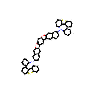 c1ccc(N(c2ccc3cc4c(cc3c2)oc2cc3oc5cc6cc(N(c7ccccc7)c7cccc8sc9ccccc9c78)ccc6cc5c3cc24)c2cccc3sc4ccccc4c23)cc1